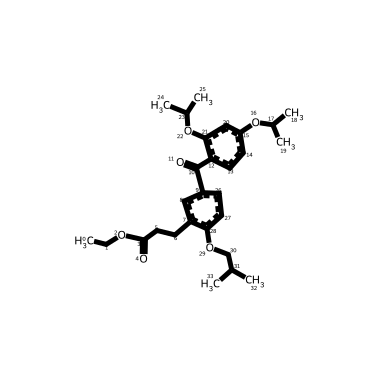 CCOC(=O)CCc1cc(C(=O)c2ccc(OC(C)C)cc2OC(C)C)ccc1OCC(C)C